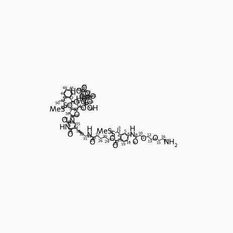 CSSC(C)c1cc(NC(=O)COCCOCCN)ccc1C(=O)OCCCCC(=O)NCC#Cc1cn([C@H]2CC(OC(=O)c3ccccc3C(C)SSC)[C@@H](COP(=O)(O)OP(=O)(O)OP(=O)(O)O)O2)c(=O)[nH]c1=O